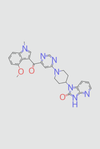 COc1cccc2c1c(C(=O)c1cc(N3CCC(n4c(=O)[nH]c5ncccc54)CC3)ncn1)cn2C